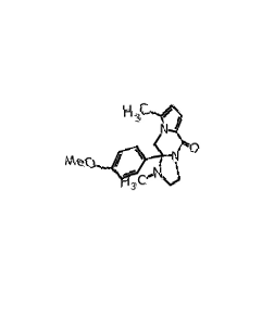 COc1ccc(C23Cn4c(C)ccc4C(=O)N2CCN3C)cc1